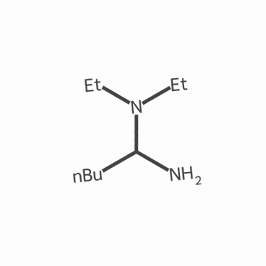 CCCCC(N)N(CC)CC